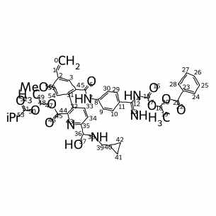 C=Cc1cc(C(=O)Nc2ccc(C(=N)NC(=O)OC(C)OC(=O)c3ccccc3)cc2)c(-c2ccc(C(O)NCC3CC3)nc2C(=O)OC(C)OC(=O)C(C)C)cc1OC